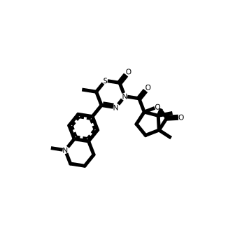 CC1SC(=O)N(C(=O)C23CCC(C)(C(=O)O2)C3(C)C)N=C1c1ccc2c(c1)CCCN2C